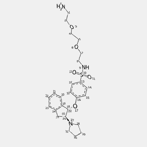 NCCOCCOCCNS(=O)(=O)c1ccc(O[C@H]2c3ccccc3C[C@@H]2N2CCCC2)cc1